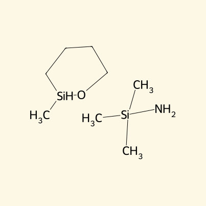 C[SiH]1CCCCO1.C[Si](C)(C)N